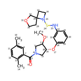 COC1CN(C(=O)c2cc(C)ccc2C)C[C@H]1Oc1cccc(NSN2CCC23CCOC3)c1